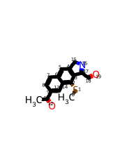 CSc1c2c(cc3ccc(C(C)=O)cc13)CN=C2C=O